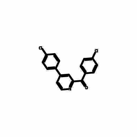 O=C(c1ccc(Cl)cc1)c1cc(-c2ccc(Cl)cc2)ccn1